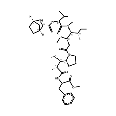 CC[C@H](C)[C@@H]([C@@H](CC(=O)N1CCC[C@H]1[C@H](OC)[C@@H](C)C(=O)NC(Cc1ccccc1)C(=O)OC)OC)N(C)C(=O)[C@@H](NC(=O)[C@H]1N[C@@H]2CC[C@H]1C2)C(C)C